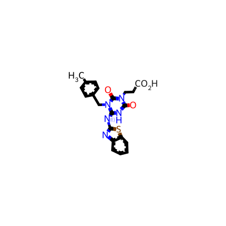 Cc1ccc(Cn2c(=O)n(CCC(=O)O)c(=O)[nH]/c2=N\c2nc3ccccc3s2)cc1